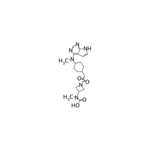 CN(C(=O)O)C1CN(S(=O)(=O)CC2CCC(N(C)c3ncnc4[nH]ccc34)CC2)C1